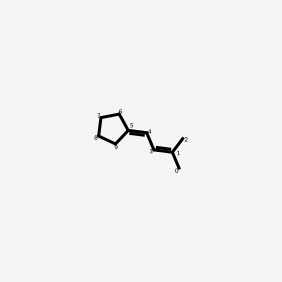 CC(C)=CC=C1CCCC1